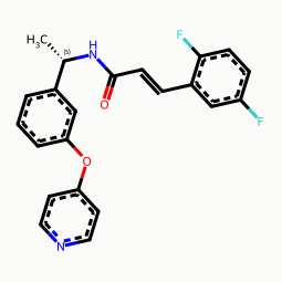 C[C@H](NC(=O)C=Cc1cc(F)ccc1F)c1cccc(Oc2ccncc2)c1